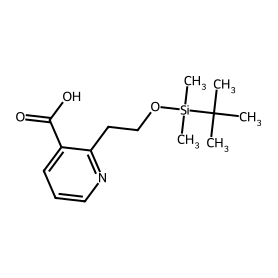 CC(C)(C)[Si](C)(C)OCCc1ncccc1C(=O)O